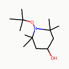 CC(C)(C)ON1C(C)(C)CC(O)CC1(C)C